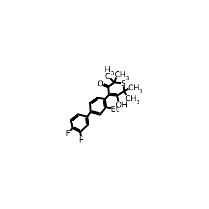 CCc1cc(-c2ccc(F)c(F)c2)ccc1C1=C(O)C(C)(C)SC(C)(C)C1=O